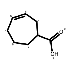 O=C(O)C1CC=[C]CCC1